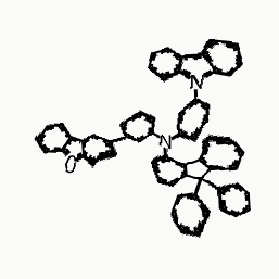 c1ccc(C2(c3ccccc3)c3ccccc3-c3c(N(c4cccc(-c5ccc6oc7ccccc7c6c5)c4)c4cccc(-n5c6ccccc6c6ccccc65)c4)cccc32)cc1